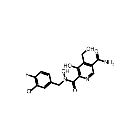 NC(=O)c1cnc(C(=O)N(O)Cc2ccc(F)c(Cl)c2)c(O)c1CO